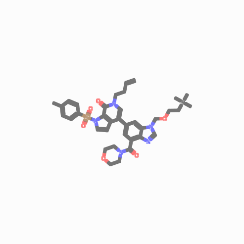 C=CCCn1cc(-c2cc(C(=O)N3CCOCC3)c3ncn(COCC[Si](C)(C)C)c3c2)c2ccn(S(=O)(=O)c3ccc(C)cc3)c2c1=O